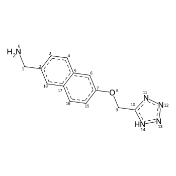 NCc1ccc2cc(OCc3nnn[nH]3)ccc2c1